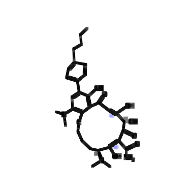 CCCCc1ccc(-c2cc(N(C)C)c3c(c2O)C(=O)/C=C(\O)[C@H](O)C(=O)/C(C(N)=O)=C(/O)[C@@H](N(C)C)CCCC3)cc1